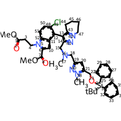 COC(=O)CCn1c(C(=O)OC)cc2c(-c3c(CN(C)Cc4cc(CO[Si](c5ccccc5)(c5ccccc5)C(C)(C)C)n(C)n4)nn4c3CCCC4)c(Cl)ccc21